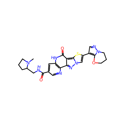 CN1CCCC1CNC(=O)c1cnc2c(c1)[nH]c(=O)c1c2nn2cc(-c3cnn4c3OCCC4)sc12